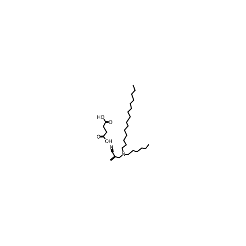 C=C(C#N)CN(CCCCCC)CCCCCCCCCCCCCCC.O=C(O)CCC(=O)O